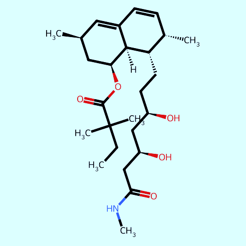 CCC(C)(C)C(=O)O[C@H]1C[C@@H](C)C=C2C=C[C@H](C)[C@H](CC[C@@H](O)C[C@@H](O)CC(=O)NC)[C@H]21